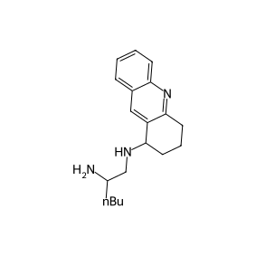 CCCCC(N)CNC1CCCc2nc3ccccc3cc21